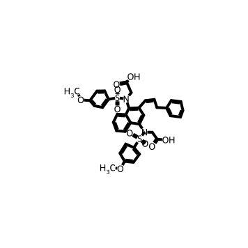 COc1ccc(S(=O)(=O)N(CC(=O)O)c2cc(/C=C\Cc3ccccc3)c(N(CC(=O)O)S(=O)(=O)c3ccc(OC)cc3)c3ccccc23)cc1